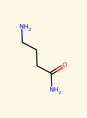 NCCCC(N)=O